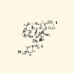 COc1ccc(C(O)C(=O)NC2C(=O)N3C(C(=O)O)=C(C(CCC(=O)O)Sc4ccc5n[nH]c(=O)n5n4)CS[C@@H]23)cc1